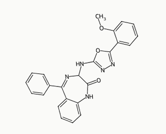 COc1ccccc1-c1nnc(NC2N=C(c3ccccc3)c3ccccc3NC2=O)o1